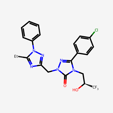 CCc1nc(Cn2nc(-c3ccc(Cl)cc3)n(C[C@H](O)C(F)(F)F)c2=O)nn1-c1ccccc1